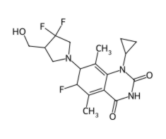 CC1=c2c(=O)[nH]c(=O)n(C3CC3)c2=C(C)C(N2CC(CO)C(F)(F)C2)C1F